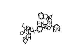 CCNC(=O)[C@H](NC(=O)C(C)(C)c1ccc2nc([C@@H](NC(=O)c3ccnn3C)[C@@H]3c4ccccc4CC34CC4)[nH]c2c1)C1CC2CC1C2